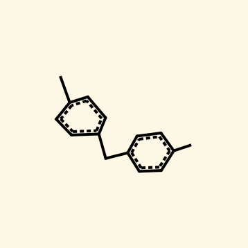 Cc1ccc(Cc2ccc(C)cc2)cc1